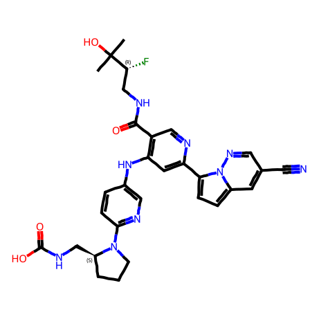 CC(C)(O)[C@H](F)CNC(=O)c1cnc(-c2ccc3cc(C#N)cnn23)cc1Nc1ccc(N2CCC[C@H]2CNC(=O)O)nc1